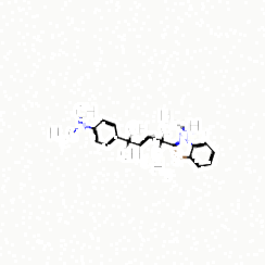 CN(C)c1ccc(C(C)(C)C=CC(C)(C)c2sc3ccccc3[n+]2C)cc1